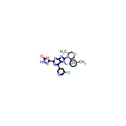 C[C@@H]1COC[C@@H](C)N1c1nc2nc(-c3n[nH]c(=O)o3)nc(-c3cncc(Cl)c3)c2n1C[C@H]1CC[C@H](C)CC1